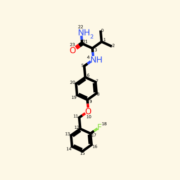 CC(C)C(NCc1ccc(OCc2ccccc2F)cc1)C(N)=O